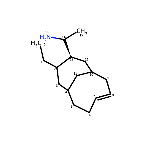 CCC1CC2CC/C=C/CC(C2)C[C@@H]1C(C)N